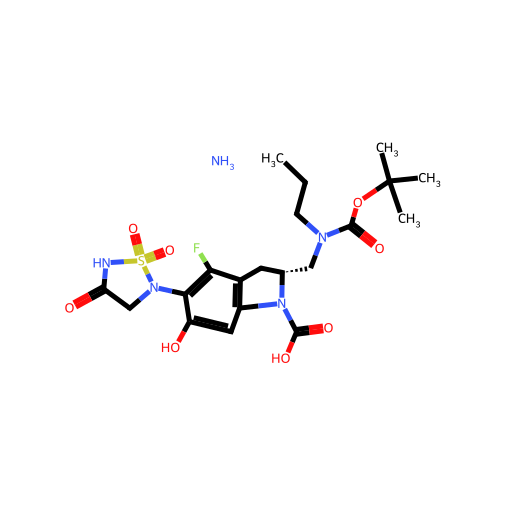 CCCN(C[C@H]1Cc2c(cc(O)c(N3CC(=O)NS3(=O)=O)c2F)N1C(=O)O)C(=O)OC(C)(C)C.N